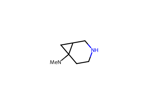 CNC12CCNCC1C2